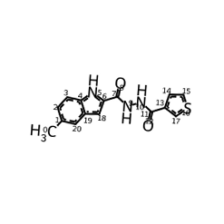 Cc1ccc2[nH]c(C(=O)NNC(=O)c3ccsc3)cc2c1